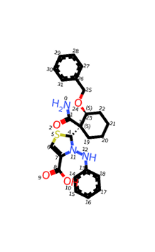 NC(=O)[C@]1(C2SC=C(C(=O)O)N2Nc2ccccc2)CCCC[C@@H]1OCc1ccccc1